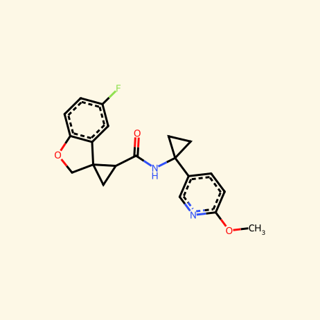 COc1ccc(C2(NC(=O)C3CC34COc3ccc(F)cc34)CC2)cn1